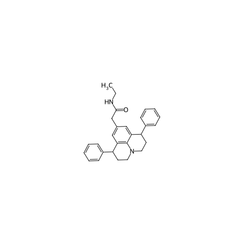 CCNC(=O)Cc1cc2c3c(c1)C(c1ccccc1)CCN3CCC2c1ccccc1